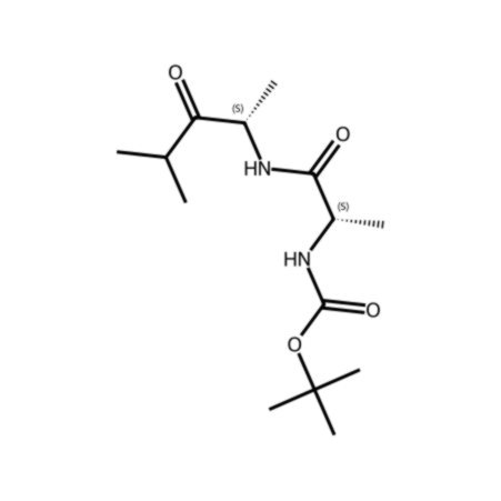 CC(C)C(=O)[C@H](C)NC(=O)[C@H](C)NC(=O)OC(C)(C)C